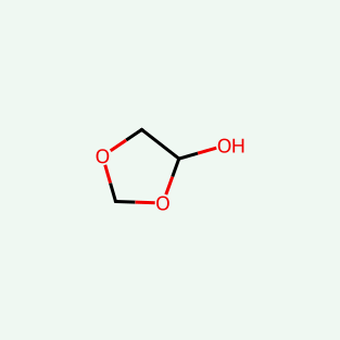 OC1COCO1